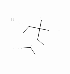 O=C(O)CC(O)(CC(=O)O)C(=O)O.O=C(O)CO.[NaH].[NaH]